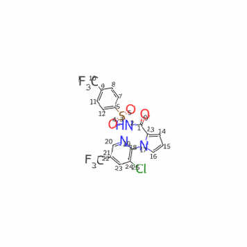 O=C(NS(=O)(=O)c1ccc(C(F)(F)F)cc1)c1cccn1-c1ncc(C(F)(F)F)cc1Cl